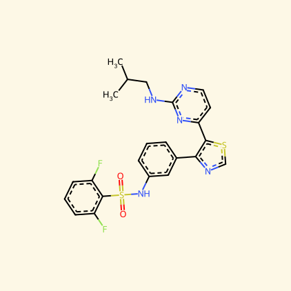 CC(C)CNc1nccc(-c2scnc2-c2cccc(NS(=O)(=O)c3c(F)cccc3F)c2)n1